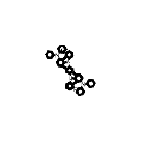 Fc1cccc2c1c1c(N(c3ccccc3)c3ccccc3)ccc3c4cc5c(cc4n2c31)c1ccc(N(c2ccccc2)c2ccccc2)c2c3c(F)cccc3n5c12